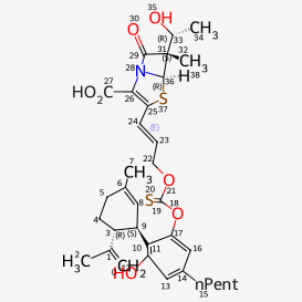 C=C(C)[C@@H]1CCC(C)=C[C@H]1c1c(O)cc(CCCCC)cc1OC(=S)OC/C=C/C1=C(C(=O)O)N2C(=O)[C@](C)([C@@H](C)O)[C@H]2S1